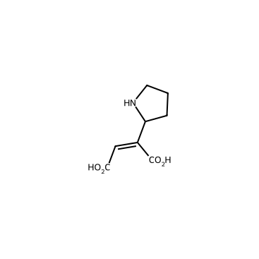 O=C(O)/C=C(\C(=O)O)C1CCCN1